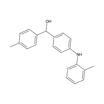 Cc1ccc(C(O)c2ccc(Nc3ccccc3C)cc2)cc1